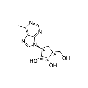 Cc1ncnc2c1ncn2[C@H]1C[C@@H](CO)[C@H](O)[C@@H]1O